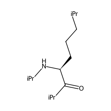 CC(C)CCC[C@H](NC(C)C)C(=O)C(C)C